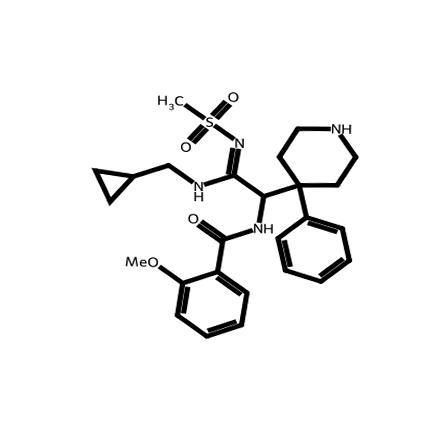 COc1ccccc1C(=O)NC(C(=NS(C)(=O)=O)NCC1CC1)C1(c2ccccc2)CCNCC1